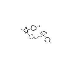 Cc1ccc(C2(CCCN3CCC(c4sc(C)nc4-c4ccc(F)cc4)C3)OCCO2)cc1